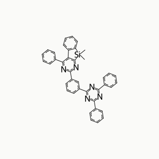 C[Si]1(C)c2ccccc2-c2c(-c3ccccc3)nc(-c3cccc(-c4nc(-c5ccccc5)nc(-c5ccccc5)n4)c3)nc21